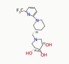 O[C@H]1[C@H](O)CN(C[C@H]2CCCN(c3cccc(C(F)(F)F)n3)C2)C[C@@H]1O